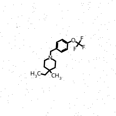 CCC1(C)CCN(Cc2ccc(OC(F)(F)F)cc2)CC1